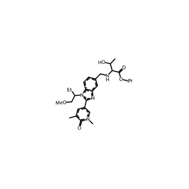 CCC(COC)n1c(-c2cc(C)c(=O)n(C)c2)nc2cc(CNC(C(=O)OC(C)C)C(C)O)ccc21